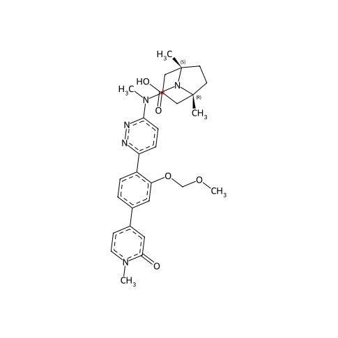 COCOc1cc(-c2ccn(C)c(=O)c2)ccc1-c1ccc(N(C)C2C[C@]3(C)CC[C@](C)(C2)N3C(=O)O)nn1